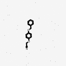 N#CCOc1ccc(OCc2ccccc2)cc1